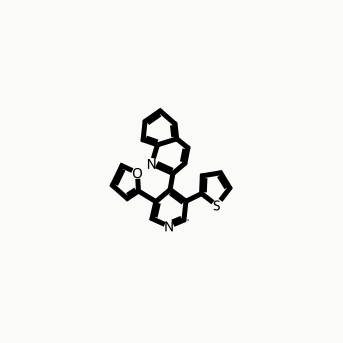 [c]1ncc(-c2ccco2)c(-c2ccc3ccccc3n2)c1-c1cccs1